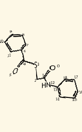 O=C(CSC(=O)c1ccccc1)Nc1ccccc1